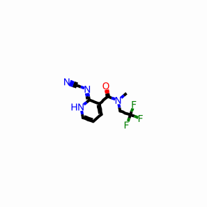 CN(CC(F)(F)F)C(=O)c1ccc[nH]/c1=N\C#N